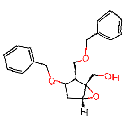 OC[C@@]12O[C@@H]1CC(OCc1ccccc1)[C@H]2COCc1ccccc1